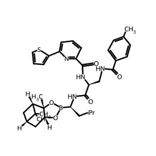 Cc1ccc(C(=O)NC[C@H](NC(=O)c2cccc(-c3cccs3)n2)C(=O)N[C@@H](CC(C)C)B2O[C@@H]3C[C@@H]4C[C@@H](C4(C)C)[C@]3(C)O2)cc1